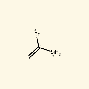 C=C([SiH3])Br